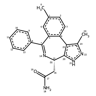 Cc1ccc2c(c1)C(c1ccccc1)=N[C@@H](CC(N)=O)c1[nH]nc(C)c1-2